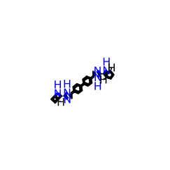 c1cc(-c2cnc([C@H]3N[C@@H]4CC[C@H]3C4)[nH]2)ccc1-c1ccc(-c2cnc([C@H]3NC4CC[C@@H]43)[nH]2)cc1